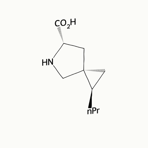 CCC[C@@H]1C[C@@]12CN[C@H](C(=O)O)C2